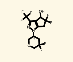 OC1c2c(C(F)(F)F)nn([C@@H]3COCC(F)(F)C3)c2CC1(F)F